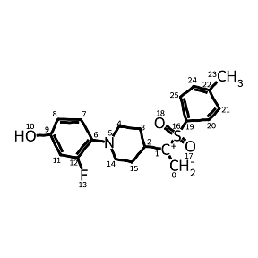 [CH2-][C+](C1CCN(c2ccc(O)cc2F)CC1)S(=O)(=O)c1ccc(C)cc1